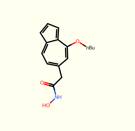 CCCCOc1cc(CC(=O)NO)ccc2cccc1-2